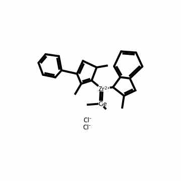 CC1=Cc2ccccc2[CH]1[Zr+2]([C]1=C(C)C(c2ccccc2)=CC1C)=[Ge]([CH3])[CH3].[Cl-].[Cl-]